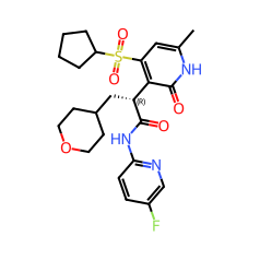 Cc1cc(S(=O)(=O)C2CCCC2)c([C@@H](CC2CCOCC2)C(=O)Nc2ccc(F)cn2)c(=O)[nH]1